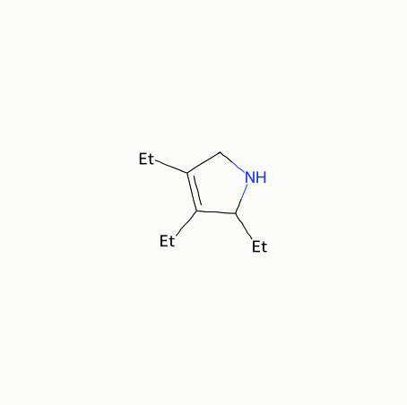 CCC1=C(CC)C(CC)NC1